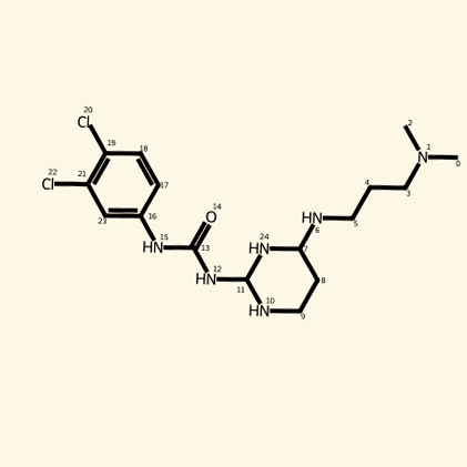 CN(C)CCCNC1CCNC(NC(=O)Nc2ccc(Cl)c(Cl)c2)N1